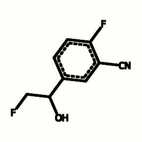 N#Cc1cc(C(O)CF)ccc1F